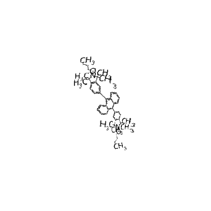 CCCCON1C(C)(C)c2ccc(-c3c4ccccc4c(-c4ccc5c(c4)C(C)(C)N(OCCCC)C5(C)C)c4ccccc34)cc2C1(C)C